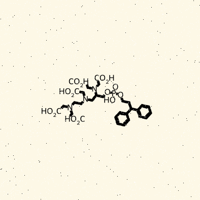 O=C(O)CN(CCN(CC(=O)O)CC(COP(=O)(O)OCCC(c1ccccc1)c1ccccc1)N(CC(=O)O)CC(=O)O)CC(=O)O